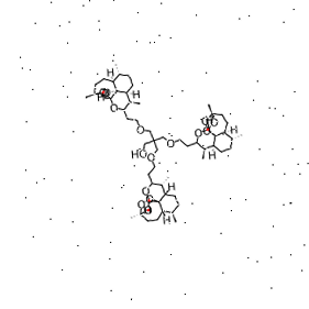 C[C@@H]1CC[C@H]2[C@@H](C)C(CCOCC(CO)(COCCC3O[C@@H]4O[C@@]5(C)CC[C@H]6[C@H](C)CC[C@@H]([C@H]3C)[C@@]46OO5)COCCC3O[C@@H]4O[C@@]5(C)CC[C@H]6[C@H](C)CC[C@@H]([C@H]3C)[C@@]46OO5)O[C@@H]3O[C@@]4(C)CC[C@@H]1[C@]32OO4